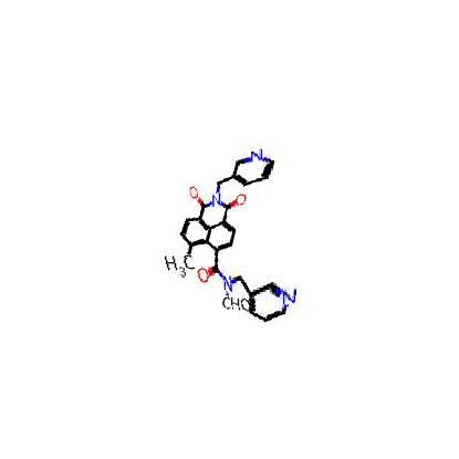 Cc1ccc2c3c(ccc(C(=O)N(C=O)Cc4cccnc4)c13)C(=O)N(Cc1cccnc1)C2=O